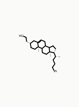 CC(C)CCC[C@@H](C)[C@H]1CCC2C3CC=C4C[C@@H]([CH]CO)CC[C@]4(C)C3CC[C@@]21C